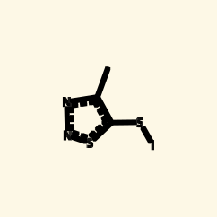 Cc1nnsc1SI